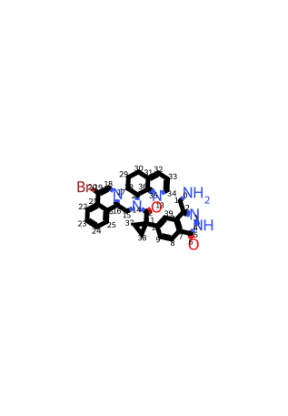 NCc1n[nH]c(=O)c2ccc(C3(C(=O)N(Cc4ncc(Br)c5ccccc45)C4CCCc5cccnc54)CC3)cc12